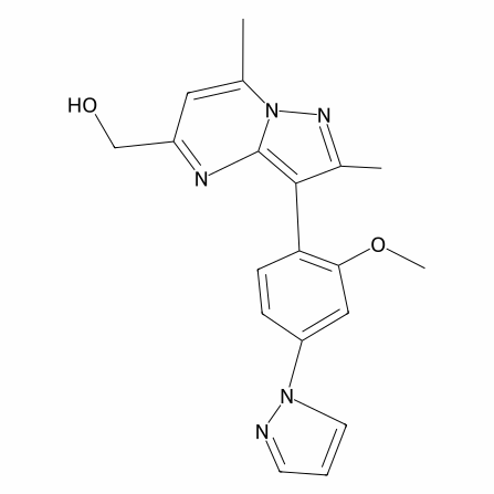 COc1cc(-n2cccn2)ccc1-c1c(C)nn2c(C)cc(CO)nc12